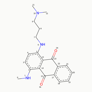 CNc1ccc(NCCCN(C)C)c2c1C(=O)c1ccccc1C2=O